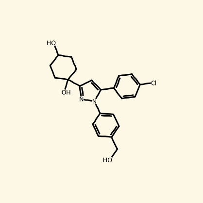 OCc1ccc(-n2nc(C3(O)CCC(O)CC3)cc2-c2ccc(Cl)cc2)cc1